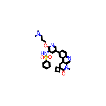 CN(C)CCCOc1ncc(-c2ccc3ncc4c(c3c2)CC2(CCC2)C(=O)N4C)cc1NS(=O)(=O)c1ccccc1